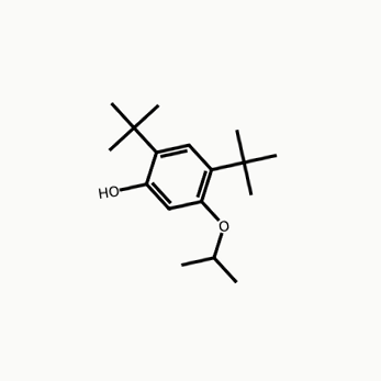 CC(C)Oc1cc(O)c(C(C)(C)C)cc1C(C)(C)C